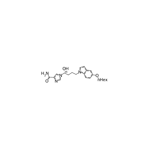 CCCCCCOc1ccc2c(ccn2CCC[C@@H](O)n2cnc(C(N)=O)c2)c1